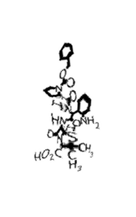 CC1(C)S[C@@H]2[C@H](NC(=O)C(NC(=O)[C@@H]3CCCN3C(=O)OCc3ccccc3)c3ccccc3N)C(=O)N2[C@H]1C(=O)O